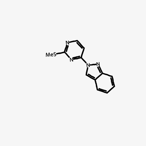 CSc1nccc(-n2cc3ccccc3n2)n1